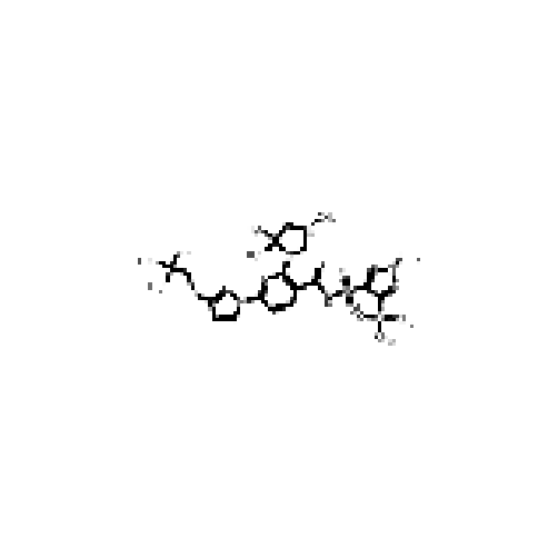 C[C@@H]1CN(c2nc(-n3ccc(OCC(C)(C)C(F)(F)F)n3)ccc2C(=O)NS(=O)(=O)c2cn(C)nc2S(C)(C)C)C(C)(C)C1